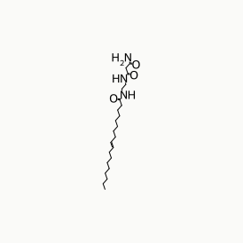 CCCCCCCCC=CCCCCCCCC(=O)NCCNC(=O)CC(N)=O